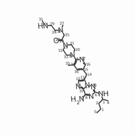 CCCC(C)Nc1nc(N)c2ncc(Cc3cnc(N4CCN(C(=O)CN(C)CCNC)CC4)c(C)c3)n2n1